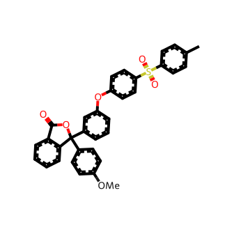 COc1ccc(C2(c3cccc(Oc4ccc(S(=O)(=O)c5ccc(C)cc5)cc4)c3)OC(=O)c3ccccc32)cc1